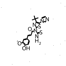 COc1cc(C=CC(=O)N(C(N)=S)c2nc(C(C)(C)C)c(-n3ccnc3)s2)ccc1O